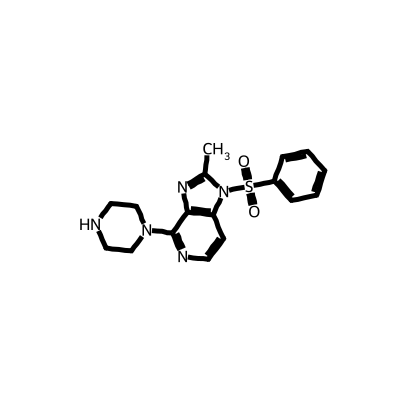 Cc1nc2c(N3CCNCC3)nccc2n1S(=O)(=O)c1ccccc1